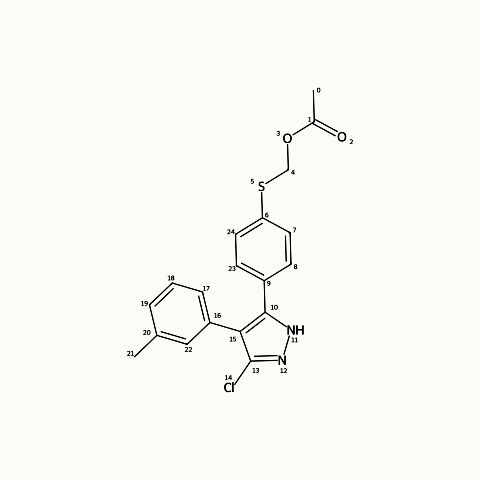 CC(=O)OCSc1ccc(-c2[nH]nc(Cl)c2-c2cccc(C)c2)cc1